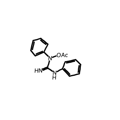 CC(=O)ON(C(=N)Nc1ccccc1)c1ccccc1